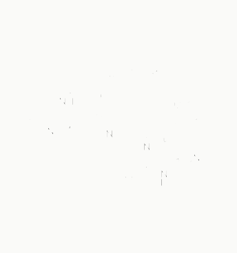 O=c1[nH]c2nccc3c2n1-c1ccc(-c2ncc[nH]2)c(n1)OCCCCO3